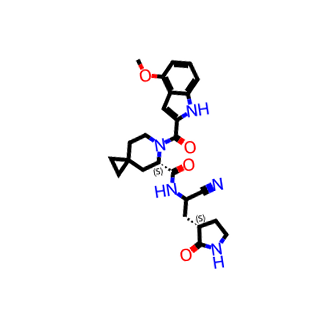 COc1cccc2[nH]c(C(=O)N3CCC4(CC4)C[C@H]3C(=O)NC(C#N)C[C@@H]3CCNC3=O)cc12